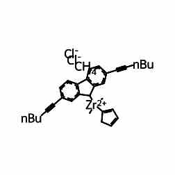 C.CCCCC#Cc1ccc2c(c1)[CH]([Zr+2]([CH3])([CH3])[C]1=CC=CC1)c1cc(C#CCCCC)ccc1-2.[Cl-].[Cl-]